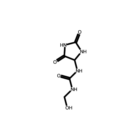 O=C(NCO)NC1NC(=O)NC1=O